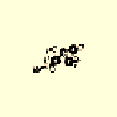 CN(C)CCCNC(=O)c1ccc(-c2ccc(-c3ccc(Cl)cc3)n2-c2cccc(C(F)(F)F)c2)cc1.Cl